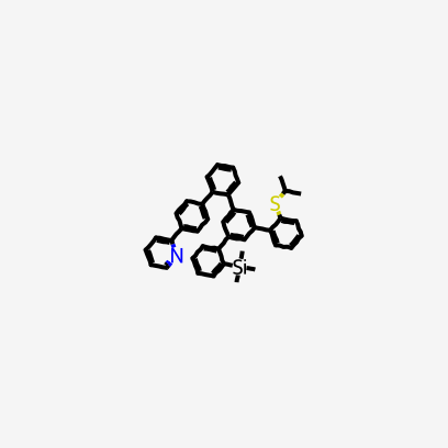 CC(C)Sc1ccccc1-c1cc(-c2ccccc2-c2ccc(-c3ccccn3)cc2)cc(-c2ccccc2[Si](C)(C)C)c1